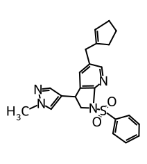 Cn1cc(C2CN(S(=O)(=O)c3ccccc3)c3ncc(CC4=CCCC4)cc32)cn1